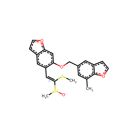 CS/C(=C\c1cc2ccoc2cc1OCc1cc(C)c2occc2c1)[S+](C)[O-]